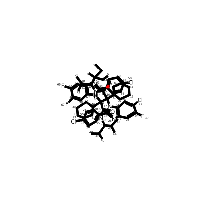 CCC(C)(CC)C(NC(=O)C(C1CCCCC1)(n1c(-c2ccc(Cl)cc2)nc2cc(F)c(Cl)cc21)C(C(=O)NC(C(C)C)C(C)C)(C1CCCCC1)n1c(-c2ccc(Cl)cc2)nc2cc(F)c(F)cc21)C(C)C